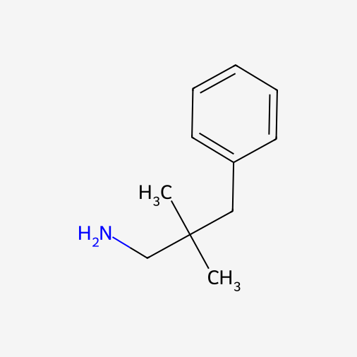 CC(C)(CN)Cc1ccccc1